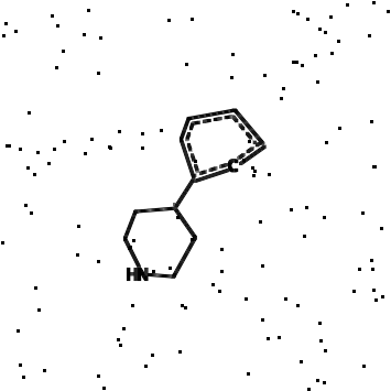 c1ccc([C]2CCNCC2)cc1